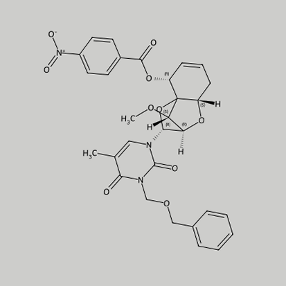 CO[C@H]1[C@H]2O[C@H]3CC=C[C@@H](OC(=O)c4ccc([N+](=O)[O-])cc4)C31O[C@H]2n1cc(C)c(=O)n(COCc2ccccc2)c1=O